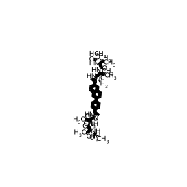 COC(=O)N[C@@H](C(=O)N[C@H](c1ncc(-c2ccc(-c3ccc4cc(-c5c[nH]c([C@@H](NC(=O)[C@H](NC(O)OC)C(C)C)C(C)(C)C)n5)ccc4c3)cc2)[nH]1)C(C)(C)C)C(C)C